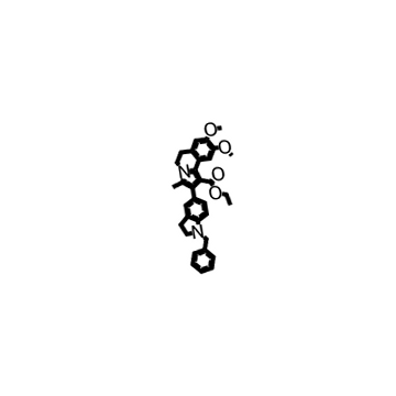 CCOC(=O)c1c(-c2ccc3c(c2)CCN3Cc2ccccc2)c(C)n2c1-c1cc(OC)c(OC)cc1CC2